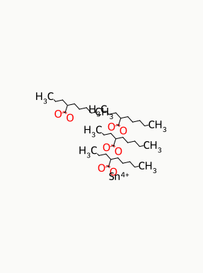 CCCCCC(CCC)C(=O)[O-].CCCCCC(CCC)C(=O)[O-].CCCCCC(CCC)C(=O)[O-].CCCCCC(CCC)C(=O)[O-].[Sn+4]